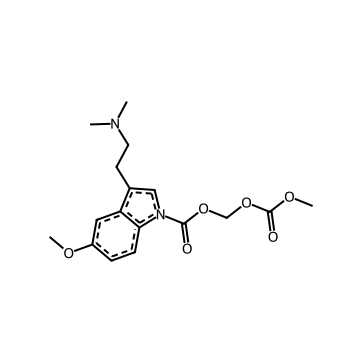 COC(=O)OCOC(=O)n1cc(CCN(C)C)c2cc(OC)ccc21